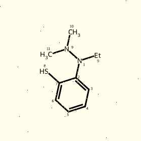 CCN(c1ccccc1S)N(C)C